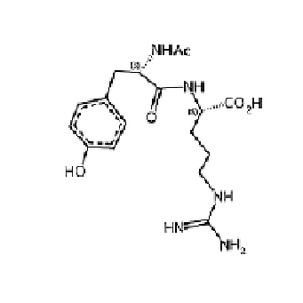 CC(=O)N[C@@H](Cc1ccc(O)cc1)C(=O)N[C@@H](CCCNC(=N)N)C(=O)O